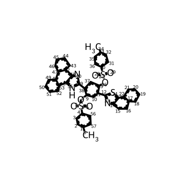 Cc1ccc(S(=O)(=O)Oc2cc(-c3nc4ccc5ccccc5c4s3)c(OS(=O)(=O)c3ccc(C)cc3)cc2-c2nc3c4ccccc4c4ccccc4c3[nH]2)cc1